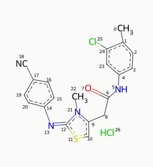 Cc1ccc(NC(=O)Cc2csc(=Nc3ccc(C#N)cc3)n2C)cc1Cl.Cl